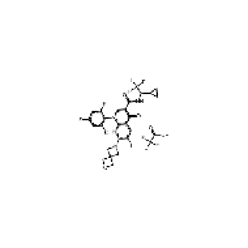 O=C(NC(C1CC1)C(F)(F)F)c1cn(-c2c(F)cc(F)cc2Cl)c2nc(N3CC4(COC4)C3)c(F)cc2c1=O.O=C(O)C(F)(F)F